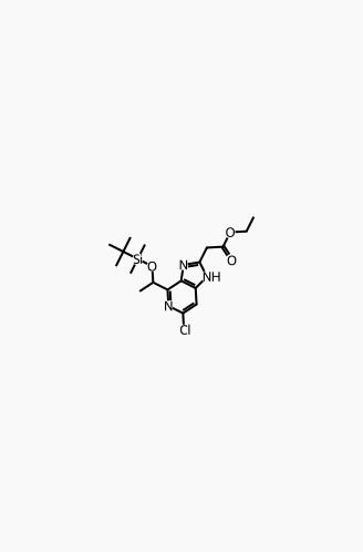 CCOC(=O)Cc1nc2c(C(C)O[Si](C)(C)C(C)(C)C)nc(Cl)cc2[nH]1